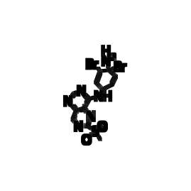 CS(=O)(=O)c1ncc2ncnc(NC3C=CC(N)(Br)C(Br)=C3)c2n1